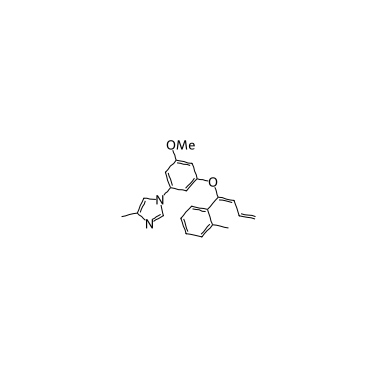 C=C/C=C(/Oc1cc(OC)cc(-n2cnc(C)c2)c1)c1ccccc1C